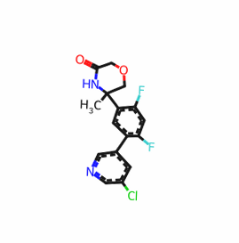 CC1(c2cc(-c3cncc(Cl)c3)c(F)cc2F)COCC(=O)N1